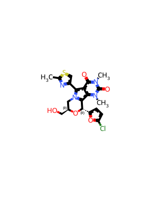 Cc1nc(-c2c3c(=O)n(C)c(=O)n(C)c3c3n2C[C@H](CO)O[C@H]3c2ccc(Cl)o2)cs1